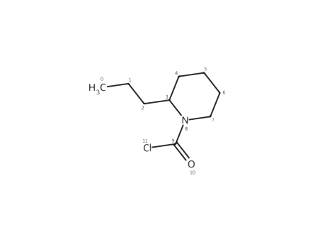 CCCC1CCCCN1C(=O)Cl